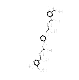 OCc1cc(C(O)CNCC(O)COc2cccc(OCC(O)CNCC(O)c3ccc(O)c(CO)c3)c2)ccc1O